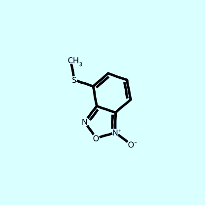 CSc1cccc2c1no[n+]2[O-]